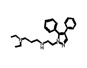 CCN(CC)CCCNCCn1ncc(-c2ccccc2)c1-c1ccccc1